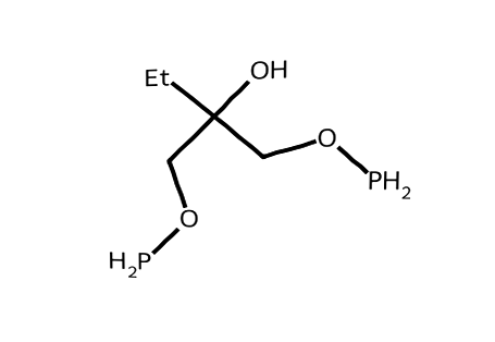 CCC(O)(COP)COP